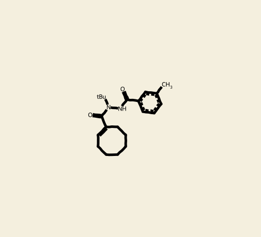 Cc1cccc(C(=O)NN(C(=O)C2=CCCCCCC2)C(C)(C)C)c1